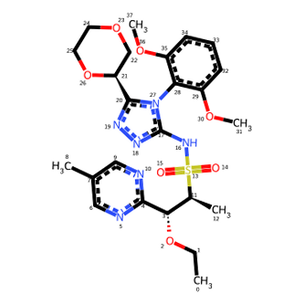 CCO[C@H](c1ncc(C)cn1)[C@H](C)S(=O)(=O)Nc1nnc([C@@H]2COCCO2)n1-c1c(OC)cccc1OC